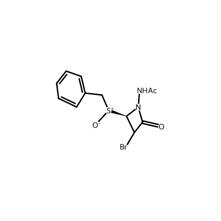 CC(=O)NN1C(=O)C(Br)[C@H]1[S+]([O-])Cc1ccccc1